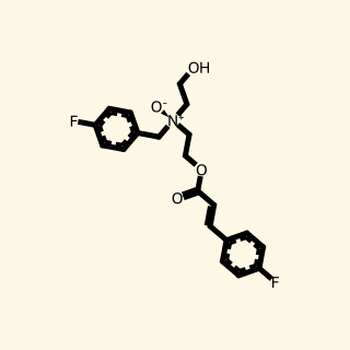 O=C(/C=C/c1ccc(F)cc1)OCC[N@@+]([O-])(CCO)Cc1ccc(F)cc1